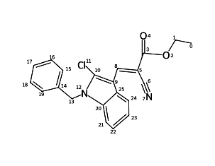 CCOC(=O)C(C#N)=Cc1c(Cl)n(Cc2ccccc2)c2ccccc12